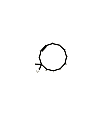 CC1(F)C/C=C\CCCCCCCC1